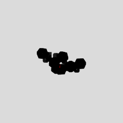 c1ccc2c(c1)cc(-c1nc3ccccc3o1)c1oc3cccc(-n4c5ccccc5c5cc6oc7ccccc7c6cc54)c3c12